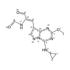 COc1nc(NC2CC2)n2ncc(/C=C(/C=O)NC=O)c2n1